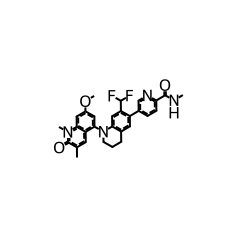 CNC(=O)c1ccc(-c2cc3c(cc2C(F)F)N(c2cc(OC)cc4c2cc(C)c(=O)n4C)CCC3)cn1